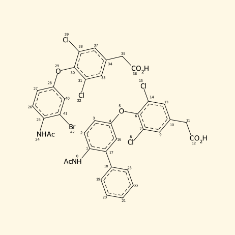 CC(=O)Nc1ccc(Oc2c(Cl)cc(CC(=O)O)cc2Cl)cc1-c1ccccc1.CC(=O)Nc1ccc(Oc2c(Cl)cc(CC(=O)O)cc2Cl)cc1Br